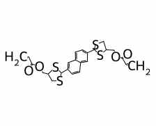 C=CC(=O)OCC1CSC(c2ccc3cc(C4SCC(COC(=O)C=C)S4)ccc3c2)S1